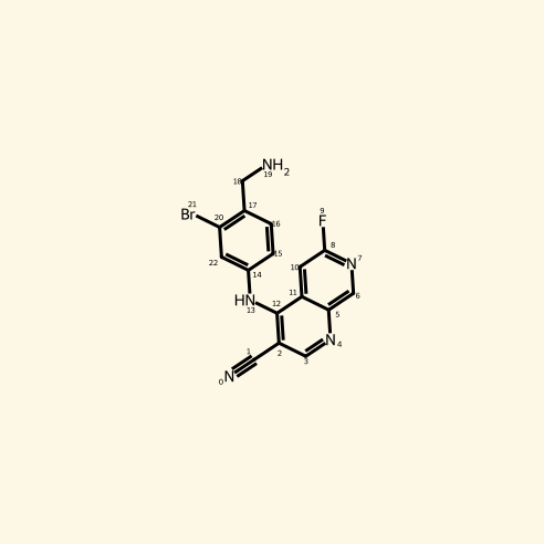 N#Cc1cnc2cnc(F)cc2c1Nc1ccc(CN)c(Br)c1